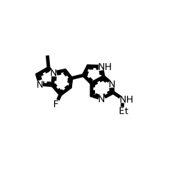 CCNc1ncc2c(-c3cc(F)c4ncc(C)n4c3)c[nH]c2n1